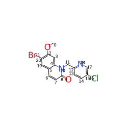 COc1cc2c(ccc(=O)n2Cc2ccc(Cl)cn2)cc1Br